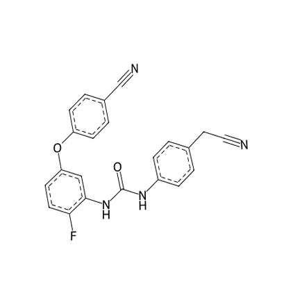 N#CCc1ccc(NC(=O)Nc2cc(Oc3ccc(C#N)cc3)ccc2F)cc1